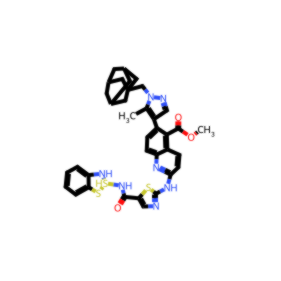 COC(=O)c1c(-c2cnn(CC34CC5CC(CC(C5)C3)C4)c2C)ccc2nc(Nc3ncc(C(=O)N[SH]4Nc5ccccc5S4)s3)ccc12